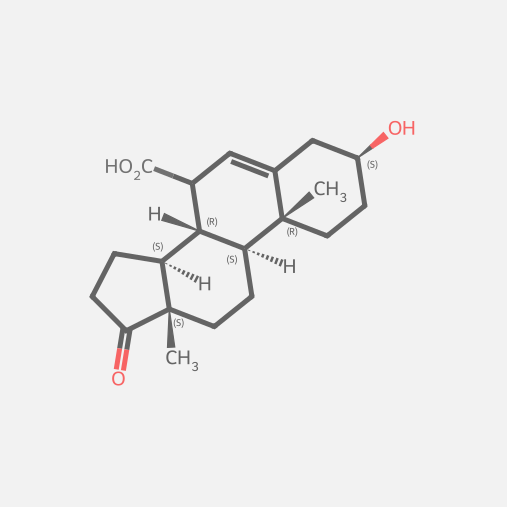 C[C@]12CC[C@H](O)CC1=CC(C(=O)O)[C@@H]1[C@@H]2CC[C@]2(C)C(=O)CC[C@@H]12